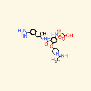 CC(=N)N1CCC(Oc2ccc(NS(=O)(=O)CC(=O)O)cc2C(=O)NC/C(C)=C/c2cccc(C(=N)N)c2)CC1